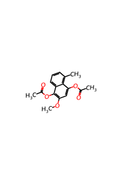 COc1cc(OC(C)=O)c2c(C)cccc2c1OC(C)=O